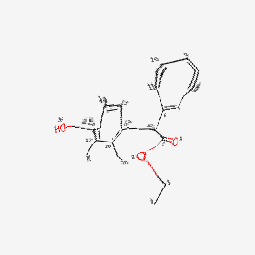 CCOC(=O)C(c1ccccc1)c1ccc(O)c(C)c1C